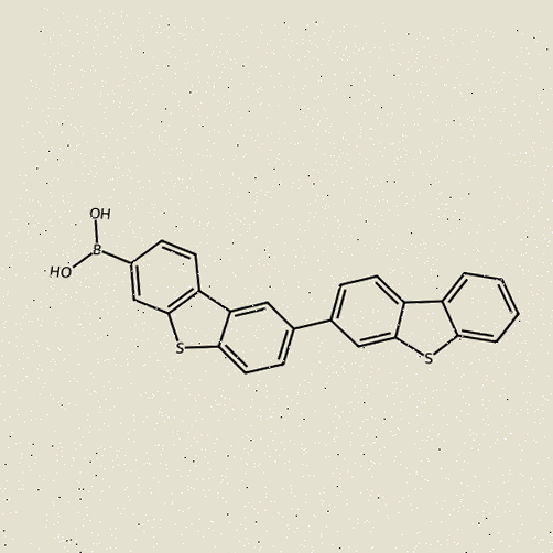 OB(O)c1ccc2c(c1)sc1ccc(-c3ccc4c(c3)sc3ccccc34)cc12